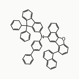 C1=CCC(C2(c3ccccc3)c3ccccc3-c3ccc(N(c4ccc(-c5ccccc5)cc4)c4cc5c(oc6cccc(-c7cccc8ccccc78)c65)c5ccccc45)cc32)C=C1